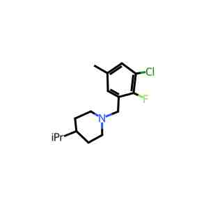 Cc1cc(Cl)c(F)c(CN2CCC(C(C)C)CC2)c1